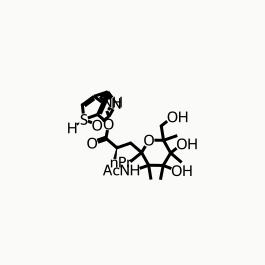 CCC[C@H](CC1(C)OC(C)(CO)C(C)(O)C(C)(O)C1(C)NC(C)=O)C(=O)OC1=c2nc3[nH]c2=C[S@@H]1O3